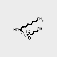 CCCCCCCC(=O)O.O=S(=O)(O)CC[CH2][Na]